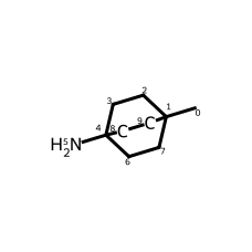 CC12CCC(N)(CC1)CC2